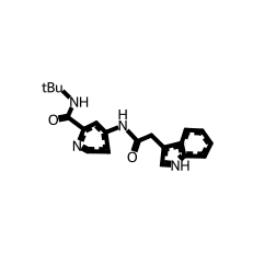 CC(C)(C)NC(=O)c1cc(NC(=O)Cc2c[nH]c3ccccc23)ccn1